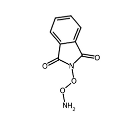 NOON1C(=O)c2ccccc2C1=O